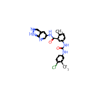 Cc1ccc(NC(=O)Nc2ccc(Cl)c(C(F)(F)F)c2)cc1C(=O)Nc1cnc2[nH]ncc2c1